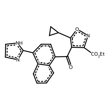 CCOC(=O)c1noc(C2CC2)c1C(=O)c1ccc(-c2ncc[nH]2)c2ccccc12